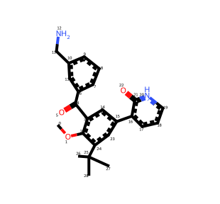 COc1c(C(=O)c2cccc(CN)c2)cc(-c2ccc[nH]c2=O)cc1C(C)(C)C